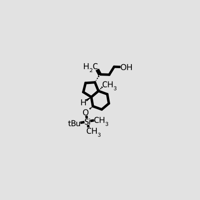 C=C(CCO)[C@H]1CC[C@H]2[C@@H](O[Si](C)(C)C(C)(C)C)CCC[C@]12C